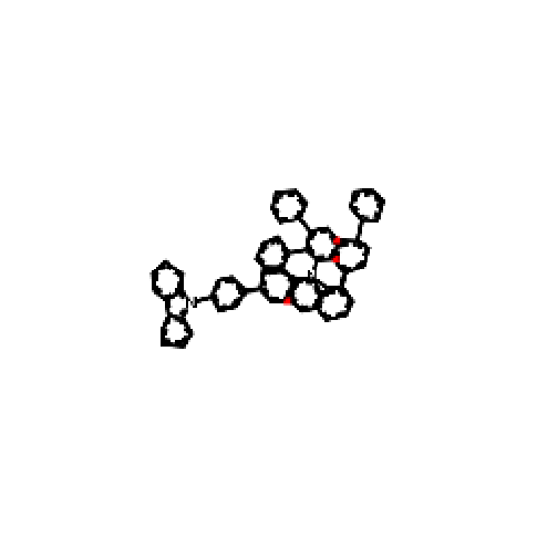 c1ccc(-c2ccc(-c3ccccc3N(c3ccc(-c4ccc(-n5c6ccccc6c6ccccc65)cc4)cc3)c3cccc(-c4ccccc4)c3-c3ccccc3-c3ccccc3)cc2)cc1